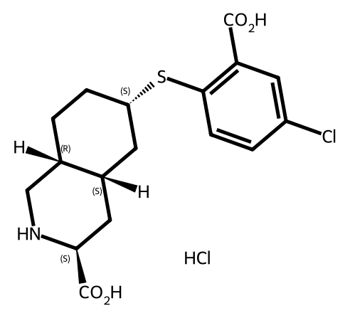 Cl.O=C(O)c1cc(Cl)ccc1S[C@H]1CC[C@H]2CN[C@H](C(=O)O)C[C@H]2C1